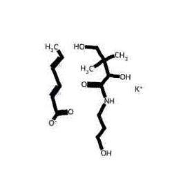 C/C=C/C=C/C(=O)[O-].CC(C)(CO)C(O)C(=O)NCCCO.[K+]